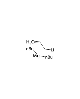 CCC[CH2][Mg][CH2]CCC.[Li][CH2]C=C